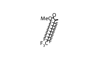 C=C(C(=O)OC)C(F)(F)C(F)(F)C(F)(F)C(F)(F)C(F)(F)C(F)(F)C(F)(F)C(F)(F)F